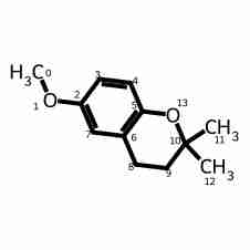 COc1ccc2c(c1)CCC(C)(C)O2